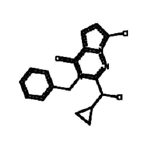 O=c1c2ccc(Cl)n2nc(C(Cl)C2CC2)n1Cc1ccccc1